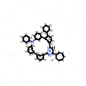 C[C@H]1C=CC=CC=C1C1=NC2=N[C@H](C1)c1ccc(-c3ccccc3)c(c1)-c1cccc(c1)N(c1ccccc1)c1cccc(c1)-c1cccc2c1